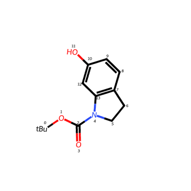 CC(C)(C)OC(=O)N1CCc2ccc(O)cc21